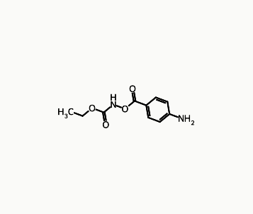 CCOC(=O)NOC(=O)c1ccc(N)cc1